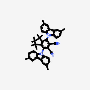 Cc1ccc2c(c1)c1cc(C)ccc1n2-c1c(C#N)c(C#N)c(-n2c3ccc(C)cc3c3cc(C)ccc32)c2c1C(C)(C)C(C)(C)C2(C)C